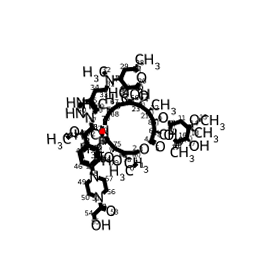 CC[C@H]1OC(=O)[C@H](C)[C@@H](O[C@H]2C[C@@](C)(OC)[C@@H](O)[C@H](C)O2)[C@H](C)[C@@H](O[C@@H]2O[C@H](C)C[C@H](N(C)CCC3=CN([C@H](CF)[C@H](OC)c4ccc(N5CCN(C(=O)CO)CC5)cc4)NN3)[C@H]2O)[C@](C)(O)C[C@@H](C)CN(C)[C@H](C)[C@@H](O)[C@]1(C)O